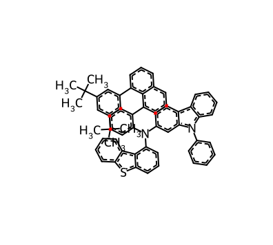 CC(C)(C)c1cc(-c2cccc3cccc(-c4ccccc4N(c4ccc5c6ccccc6n(-c6ccccc6)c5c4)c4cccc5sc6ccccc6c45)c23)cc(C(C)(C)C)c1